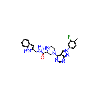 Cc1ccc(-n2cc3c(N4CCNC(C(=O)NCc5cc6ccccc6[nH]5)C4)ncnc3n2)cc1F